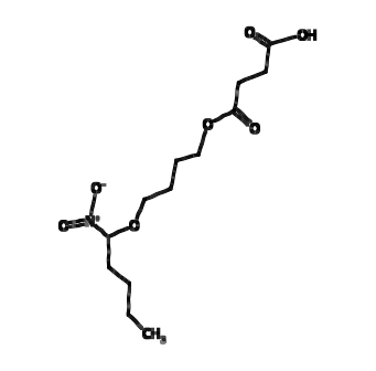 CCCCC(OCCCCOC(=O)CCC(=O)O)[N+](=O)[O-]